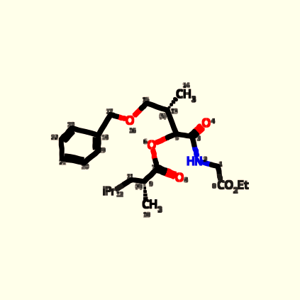 CCOC(=O)CNC(=O)C(OC(=O)[C@H](C)CC(C)C)[C@@H](C)COCc1ccccc1